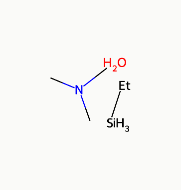 CC[SiH3].CN(C)C.O